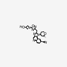 C[C@@H]1C[C@H](n2c(Cc3noc(N4CC(O)C4)n3)nc3cnc4ccc(C#N)cc4c32)CCO1